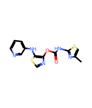 Cc1csc(NC(=O)Oc2ncsc2Nc2cccnc2)n1